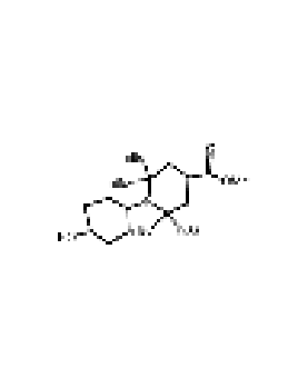 CCCCC1(CCCC)CC(C(=O)OC)CC(CCCC)(CCCC)N1C1CCC(O)CC1